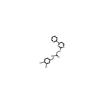 O=C(CSc1nccc(-c2ccccn2)n1)NCc1ccc(Cl)c(Cl)c1